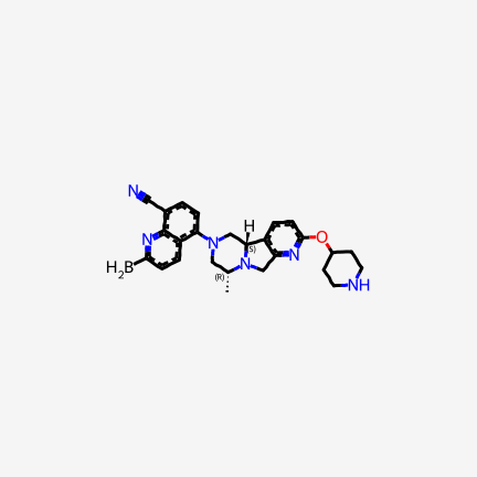 Bc1ccc2c(N3C[C@@H](C)N4Cc5nc(OC6CCNCC6)ccc5[C@H]4C3)ccc(C#N)c2n1